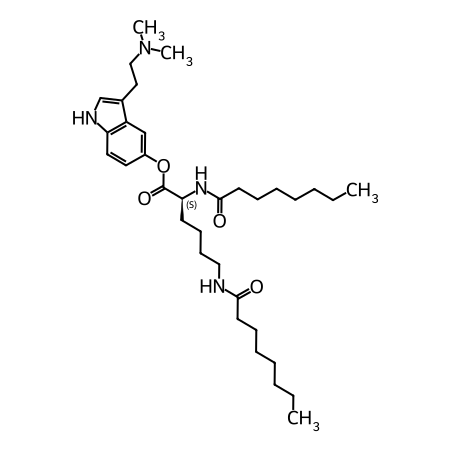 CCCCCCCC(=O)NCCCC[C@H](NC(=O)CCCCCCC)C(=O)Oc1ccc2[nH]cc(CCN(C)C)c2c1